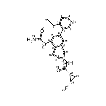 CCc1ccncc1-c1cc(OC(N)=O)c2cnc(NC(=O)[C@@H]3C[C@@H]3F)cc2c1